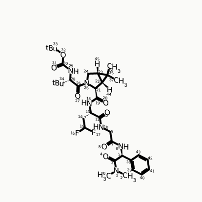 CN(C)C(=O)[C@@H](NC(=O)CNC(=O)[C@H](CC(F)F)NC(=O)[C@@H]1[C@@H]2[C@H](CN1C(=O)[C@@H](NC(=O)OC(C)(C)C)C(C)(C)C)C2(C)C)c1ccccc1